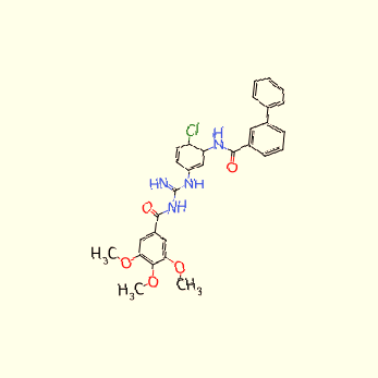 COc1cc(C(=O)NC(=N)NC2=CC(NC(=O)c3cccc(-c4ccccc4)c3)C(Cl)C=C2)cc(OC)c1OC